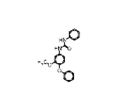 COc1cc(NC(=O)Nc2ccccc2)ccc1Oc1ccccc1